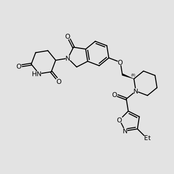 CCc1cc(C(=O)N2CCCC[C@@H]2COc2ccc3c(c2)CN(C2CCC(=O)NC2=O)C3=O)on1